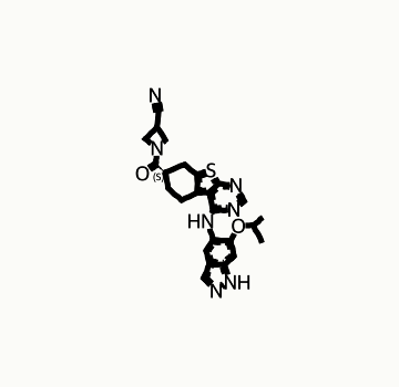 CC(C)Oc1cc2[nH]ncc2cc1Nc1ncnc2sc3c(c12)CC[C@H](C(=O)N1CC(C#N)C1)C3